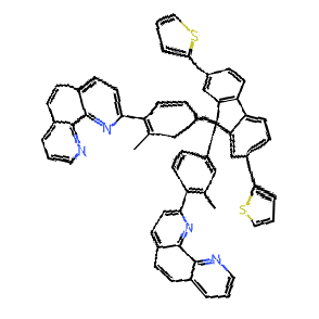 CC1=C(c2ccc3ccc4cccnc4c3n2)C=CC(C2(c3ccc(-c4ccc5ccc6cccnc6c5n4)c(C)c3)c3cc(-c4cccs4)ccc3-c3ccc(-c4cccs4)cc32)C1